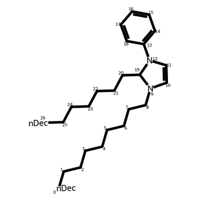 CCCCCCCCCCCCCCCCCCN1C=CN(c2ccccc2)C1CCCCCCCCCCCCCCCC